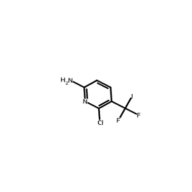 Nc1ccc(C(F)(F)I)c(Cl)n1